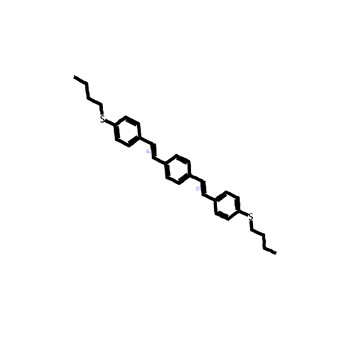 CCCCSc1ccc(/C=C/c2ccc(/C=C/c3ccc(SCCCC)cc3)cc2)cc1